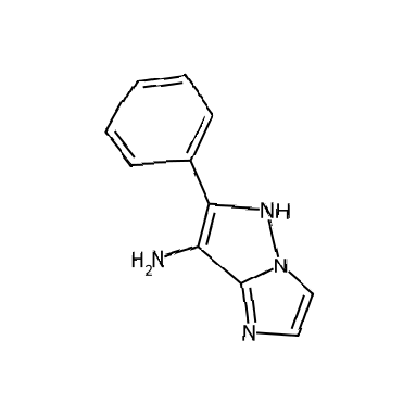 Nc1c(-c2ccccc2)[nH]n2ccnc12